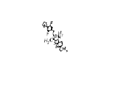 C=C(NCCc1cc(F)c(N2CCCC2)cc1F)c1sc2nc(C)ccc2c1N